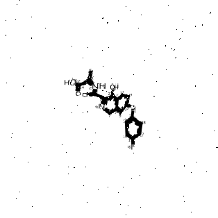 CC(NC(=O)c1ncc2cc(Oc3ccc(F)cc3)ccc2c1O)C(=O)O